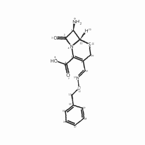 N[C@@H]1C(=O)N2C(C(=O)O)=C(C=NOCc3ccccc3)CS[C@@H]12